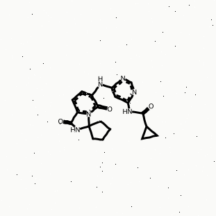 O=C1NC2(CCCC2)n2c1ccc(Nc1cc(NC(=O)C3CC3)ncn1)c2=O